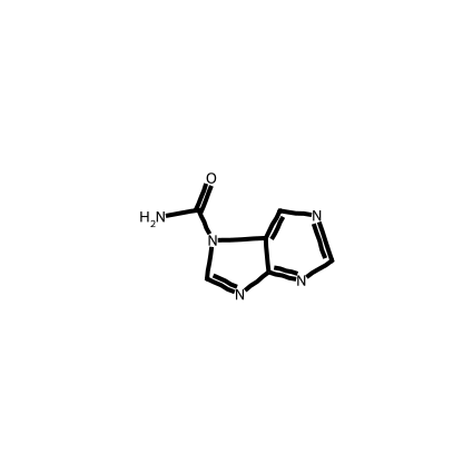 NC(=O)n1cnc2ncncc21